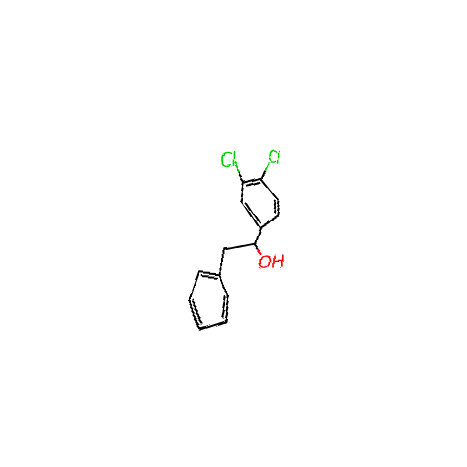 OC(Cc1ccccc1)c1ccc(Cl)c(Cl)c1